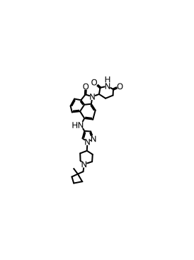 CC1(CN2CCC(n3cc(Nc4ccc5c6c(cccc46)C(=O)N5C4CCC(=O)NC4=O)cn3)CC2)CCC1